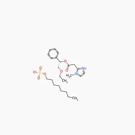 CCCCCCCCOS(=O)(=O)[O-].CCOC[C@@H](OC(=O)Cc1[nH]cc[n+]1C)c1ccccc1